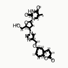 Cc1cn(C2CC(n3cc(COc4ccc5oc(=O)ccc5c4)nn3)C(CO)O2)c(=O)[nH]c1=O